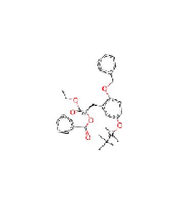 CCOC(=O)[C@@H](Cc1cc(O[Si](C)(C)C(C)(C)C)ccc1OCc1ccccc1)OC(=O)c1ccccc1